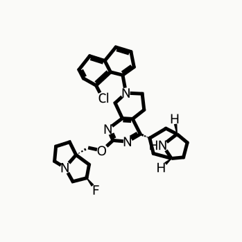 F[C@H]1CN2CCC[C@@]2(COc2nc3c(c([C@H]4C[C@H]5CC[C@@H](C4)N5)n2)CCN(c2cccc4cccc(Cl)c24)C3)C1